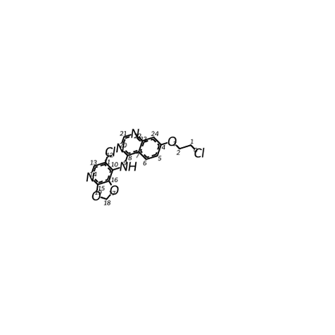 ClCCOc1ccc2c(Nc3c(Cl)cnc4c3OCO4)ncnc2c1